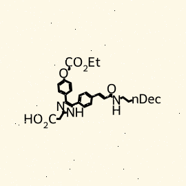 CCCCCCCCCCCCNC(=O)C=Cc1ccc(-c2[nH]c(CC(=O)O)nc2-c2ccc(OCC(=O)OCC)cc2)cc1